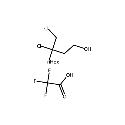 CCCCCCC(Cl)(CCl)CCO.O=C(O)C(F)(F)F